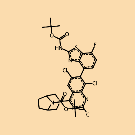 CC(C)(C)OC(=O)Nc1nc2c(-c3c(Cl)cc4c(N5CC6CCC(C5)N6C(=O)OC(C)(C)C)nc(Cl)nc4c3Cl)ccc(F)c2s1